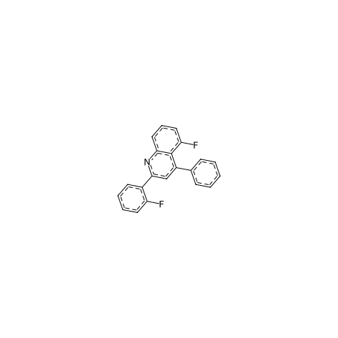 Fc1ccccc1-c1cc(-c2ccccc2)c2c(F)cccc2n1